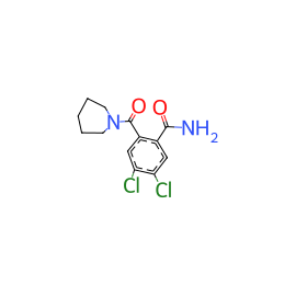 NC(=O)c1cc(Cl)c(Cl)cc1C(=O)N1CCCCC1